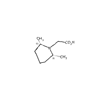 C[C@@H]1CCC[C@H](C)N1CC(=O)O